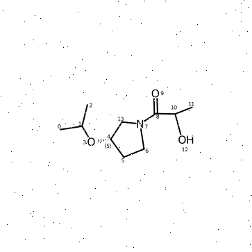 CC(C)O[C@H]1CCN(C(=O)C(C)O)C1